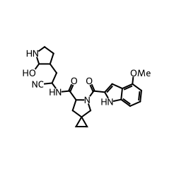 COc1cccc2[nH]c(C(=O)N3CC4(CC4)CC3C(=O)NC(C#N)CC3CCNC3O)cc12